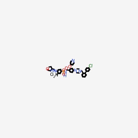 O=C(NS(=O)(=O)c1ccc(NCC2CCOCC2)c([N+](=O)[O-])c1)c1ccc(N2CCN(Cc3ccccc3-c3ccc(Cl)cc3)CC2)cc1Oc1ccncc1